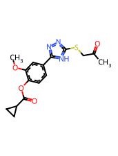 COc1cc(-c2nnc(SCC(C)=O)[nH]2)ccc1OC(=O)C1CC1